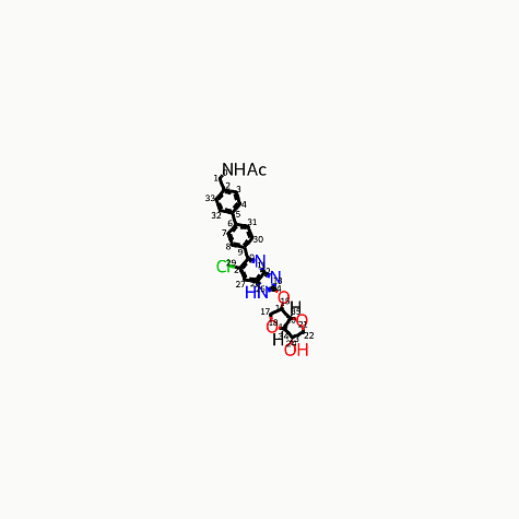 CC(=O)NCc1ccc(-c2ccc(-c3nc4nc(O[C@@H]5CO[C@H]6[C@@H]5OC[C@H]6O)[nH]c4cc3Cl)cc2)cc1